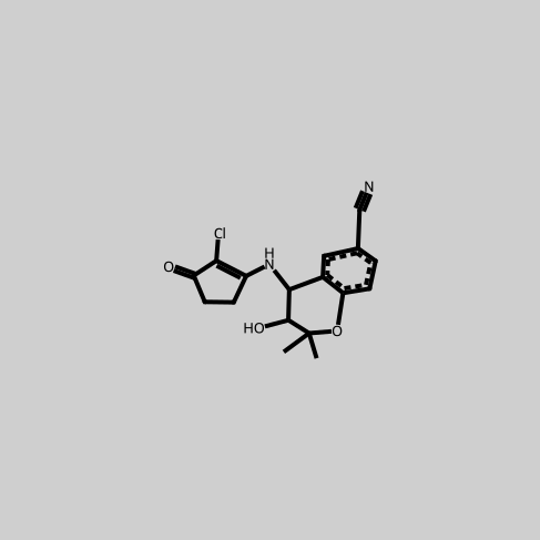 CC1(C)Oc2ccc(C#N)cc2C(NC2=C(Cl)C(=O)CC2)C1O